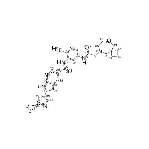 Cc1ncc(NC(=O)CN2CCOCC3(CCC3)C2)cc1NC(=O)c1cnc2[nH]c(-c3cnn(C)c3)cc2c1